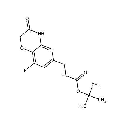 CC(C)(C)OC(=O)NCc1cc(F)c2c(c1)NC(=O)CO2